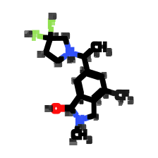 CC(c1cc2c(c(C(F)(F)F)c1)CN(C)C2=O)N1CCC(F)(F)C1